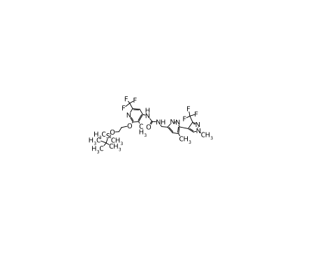 Cc1cc(CNC(=O)Nc2cc(C(F)(F)F)nc(OCCO[Si](C)(C)C(C)(C)C)c2C)nnc1-c1cn(C)nc1C(F)(F)F